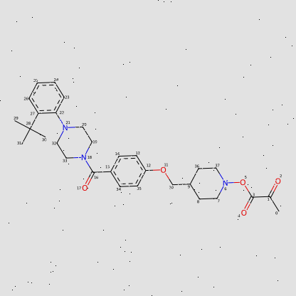 CC(=O)C(=O)ON1CCC(COc2ccc(C(=O)N3CCN(c4ccccc4C(C)(C)C)CC3)cc2)CC1